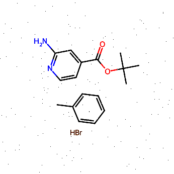 Br.CC(C)(C)OC(=O)c1ccnc(N)c1.Cc1ccccc1